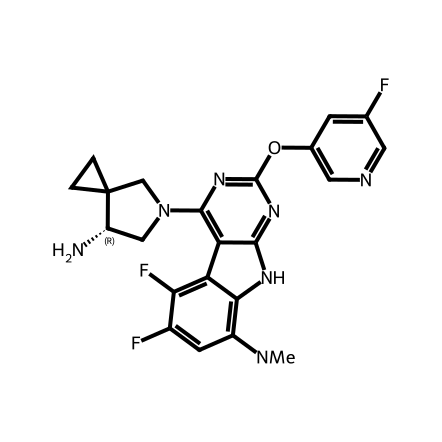 CNc1cc(F)c(F)c2c1[nH]c1nc(Oc3cncc(F)c3)nc(N3C[C@H](N)C4(CC4)C3)c12